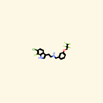 Fc1c(Cl)ccc2c(CCNCc3cccc(OCC(F)(F)C(F)F)c3)c[nH]c12